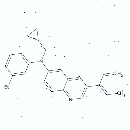 C=C/C(=C\C)c1cnc2ccc(N(CC3CC3)c3cccc(CC)c3)cc2n1